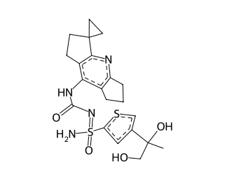 CC(O)(CO)c1csc(S(N)(=O)=NC(=O)Nc2c3c(nc4c2CCC42CC2)CCC3)c1